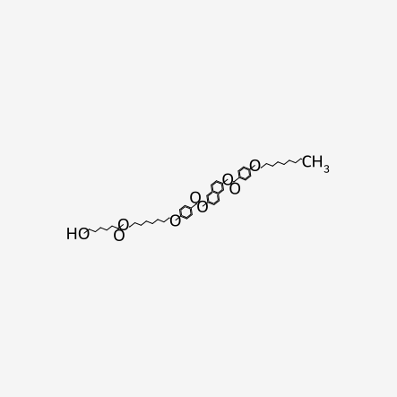 CCCCCCCCCOc1ccc(C(=O)Oc2ccc3cc(OC(=O)c4ccc(OCCCCCCCCOC(=O)CCCCCO)cc4)ccc3c2)cc1